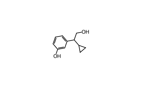 OCC(c1cccc(O)c1)C1CC1